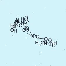 Cn1nc(C2CCC(=O)NC2=O)c2cccc(C#CCOC3CCN(CC4CCC(N5Cc6cc(N7CCOCC7)c(NC(=O)c7cnn8ccc(N9C[C@H]%10C[C@@H]9CO%10)nc78)cc6C5=O)CC4)CC3)c21